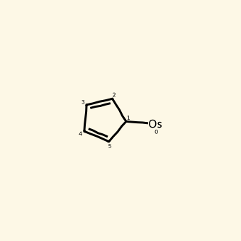 [Os][CH]1C=CC=C1